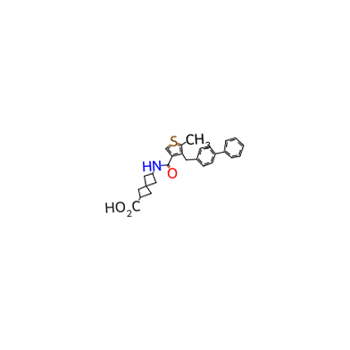 Cc1scc(C(=O)NC2CC3(C2)CC(C(=O)O)C3)c1Cc1ccc(-c2ccccc2)cc1